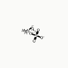 CNC.O=S(=O)([O-])[O-].[Pt+2]